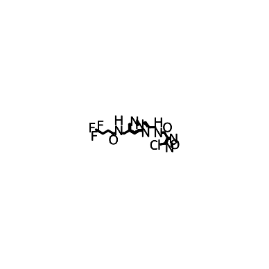 O=C(CCC(F)(F)F)NCc1cnn2cc(CNC(=O)c3nonc3Cl)nc2c1